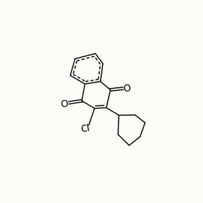 O=C1C(Cl)=C(C2CCCCC2)C(=O)c2ccccc21